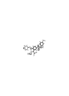 CCc1ccc(NS(=O)(=O)c2ccc(OCC3CCOCC3)c(C(CO)C(C)C)c2)cc1